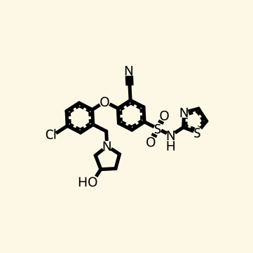 N#Cc1cc(S(=O)(=O)Nc2nccs2)ccc1Oc1ccc(Cl)cc1CN1CCC(O)C1